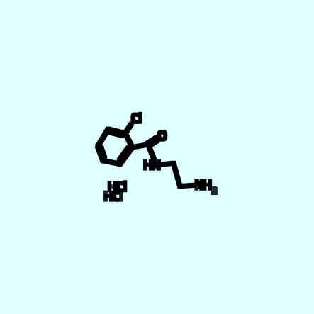 Cl.Cl.NCCNC(=O)c1ccccc1Cl